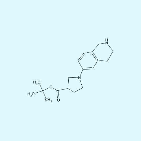 CC(C)(C)OC(=O)C1CCN(c2ccc3c(c2)CCNC3)C1